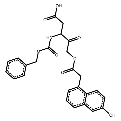 O=C(O)CC(NC(=O)OCc1ccccc1)C(=O)COC(=O)Cc1cccc2cc(O)ccc12